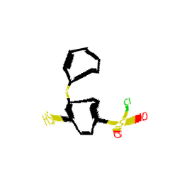 O=S(=O)(Cl)c1ccc(S)c(Sc2ccccc2)c1